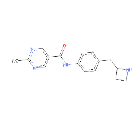 O=C(Nc1ccc(CC2CCN2)cc1)c1cnc(C(F)(F)F)nc1